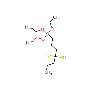 CCCC(S)(S)CCC[Si](OCC)(OCC)OCC